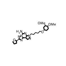 COc1ccc(OCCCCCn2ncc3c2nc(N)n2nc(-c4ccco4)nc32)cc1OC